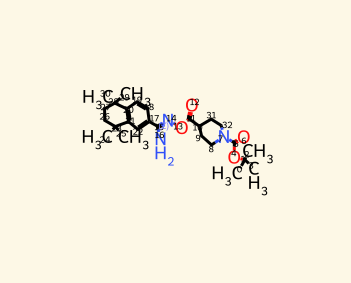 CC(C)(C)OC(=O)N1CCC(C(=O)O/N=C(\N)c2ccc3c(c2)C(C)(C)CCC3(C)C)CC1